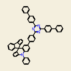 c1ccc(-c2ccc(-c3nc(-c4ccc(-c5ccccc5)cc4)nc(-c4ccc(-c5ccc6c(c5)C5(c7ccccc7-c7ccccc75)c5ccccc5N6c5ccccc5)cc4)n3)cc2)cc1